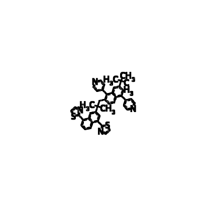 CC(C)(C)c1cc(-c2ccncc2)c2ccc(CC(C)(C)c3cc(-c4nccs4)c4cccc(-c5nccs5)c4c3)c(-c3ccncc3)c2c1